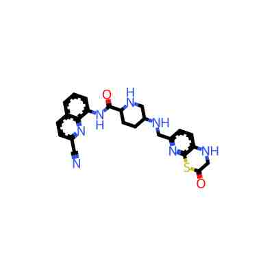 N#Cc1ccc2cccc(NC(=O)C3CCC(NCc4ccc5c(n4)SC(=O)CN5)CN3)c2n1